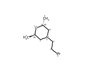 CC(C)CCN1C[C@@H](C)O[C@H](C)C1